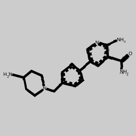 NC(=O)c1cc(-c2ccc(CN3CCC(N)CC3)cc2)cnc1N